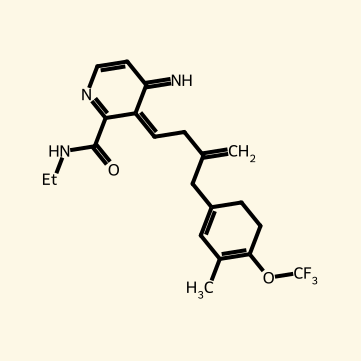 C=C(C/C=C1\C(=N)C=CN=C1C(=O)NCC)CC1=CC(C)=C(OC(F)(F)F)CC1